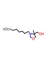 CCCCCCCCCCCCCCN1COCC1(C)CO